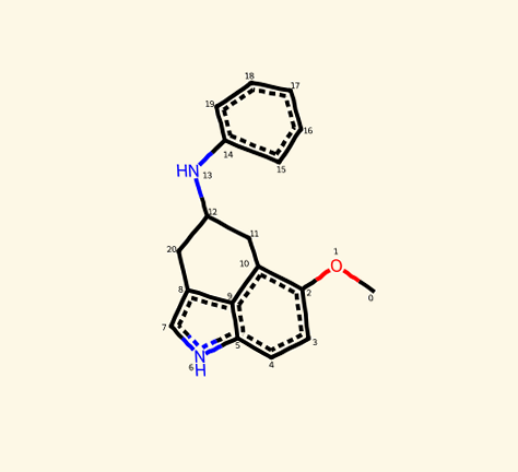 COc1ccc2[nH]cc3c2c1CC(Nc1ccccc1)C3